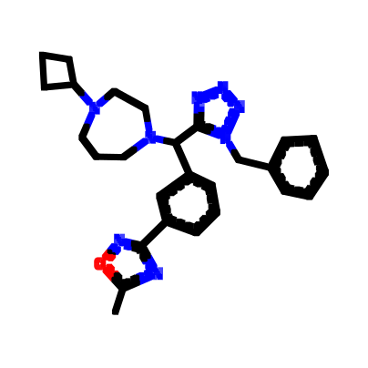 Cc1nc(-c2cccc(C(c3nnnn3Cc3ccccc3)N3CCCN(C4CCC4)CC3)c2)no1